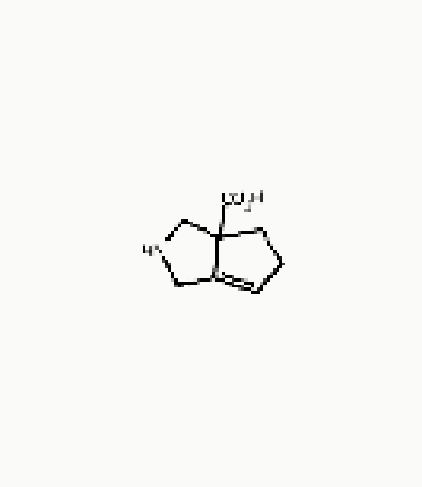 O=C(O)C12CCC=C1CNC2